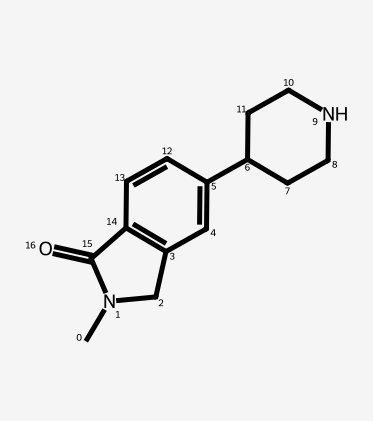 CN1Cc2cc(C3CCNCC3)ccc2C1=O